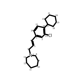 Clc1cc(C=CCN2CCCCCC2)ccc1C1CCCCC1